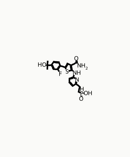 CC(C)(O)c1ccc(-c2cc(C(N)=O)c(Nc3cccc(CC[PH](=O)O)n3)s2)c(F)c1